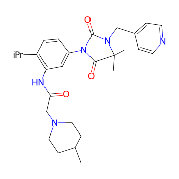 CC1CCN(CC(=O)Nc2cc(N3C(=O)N(Cc4ccncc4)C(C)(C)C3=O)ccc2C(C)C)CC1